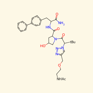 CC(=O)NCCOCc1cn(C(C(=O)N2CC(O)CC2C(=O)NC(Cc2ccc(-c3ccccc3)cc2)C(N)=O)C(C)(C)C)nn1